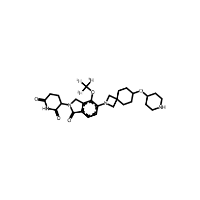 [2H]C([2H])([2H])Oc1c(N2CC3(CCC(OC4CCNCC4)CC3)C2)ccc2c1CN(C1CCC(=O)NC1=O)C2=O